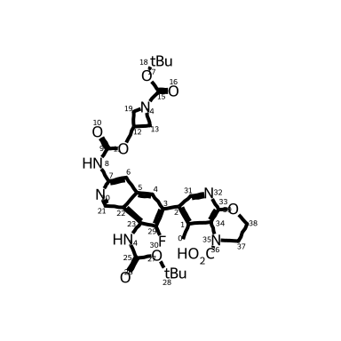 Cc1c(-c2cc3cc(NC(=O)OC4CN(C(=O)OC(C)(C)C)C4)ncc3c(NC(=O)OC(C)(C)C)c2F)cnc2c1N(C(=O)O)CCO2